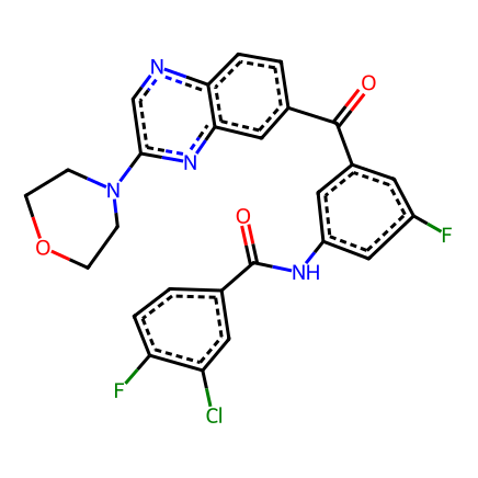 O=C(Nc1cc(F)cc(C(=O)c2ccc3ncc(N4CCOCC4)nc3c2)c1)c1ccc(F)c(Cl)c1